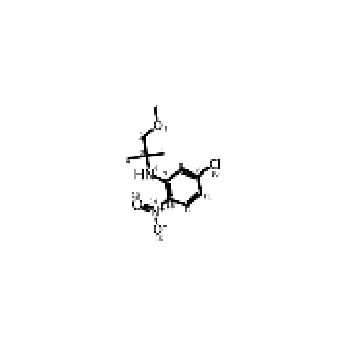 COCC(C)(C)Nc1cc(Cl)ccc1[N+](=O)[O-]